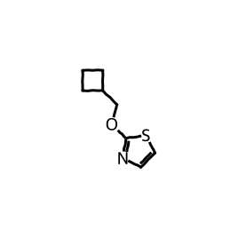 c1csc(OCC2CCC2)n1